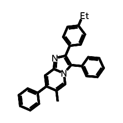 CCc1ccc(-c2nc3cc(-c4ccccc4)c(C)cn3c2-c2ccccc2)cc1